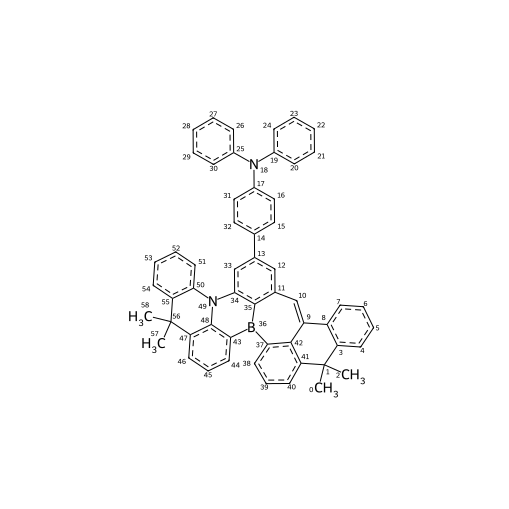 CC1(C)c2ccccc2C2=Cc3cc(-c4ccc(N(c5ccccc5)c5ccccc5)cc4)cc4c3B(c3cccc1c32)c1cccc2c1N4c1ccccc1C2(C)C